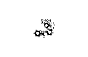 C[C@@]1(F)[C@H](O)[C@@H](CO)O[C@H]1n1c(NC(=O)c2ccccc2)ccnc1=O